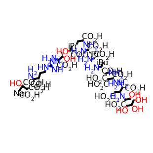 CC(C)C[C@H](N)C(=O)O.CC(C)[C@H](N)C(=O)O.CC(O)C(=O)[O-].CC[C@H](C)[C@H](N)C(=O)O.C[C@@H](O)[C@H](N)C(=O)O.C[C@H](N)C(=O)O.N=C(N)NCCC[C@H](N)C(=O)O.NCC(=O)O.N[C@@H](CC(=O)O)C(=O)O.N[C@@H](CCC(=O)O)C(=O)O.N[C@@H](CO)C(=O)O.O=C(O)CC(O)(CC(=O)O)C(=O)O.OCC(O)CO.[Na+]